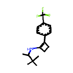 CC(NC1=C(c2ccc(C(F)(F)F)cc2)CC1)C(C)(C)C